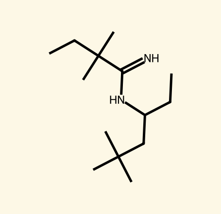 CCC(CC(C)(C)C)NC(=N)C(C)(C)CC